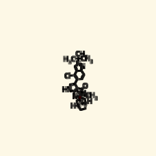 Cn1c(N2[C@@H]3CC[C@H]2C[C@@H](N)C3)nc2[nH]cc(-c3ccc4nn(C(C)(C)C)cc4c3Cl)c2c1=O